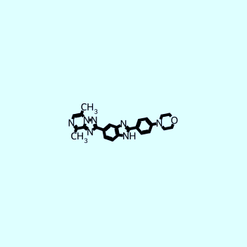 Cc1ncc(C)n2nc(-c3ccc4[nH]c(-c5ccc(N6CCOCC6)cc5)nc4c3)nc12